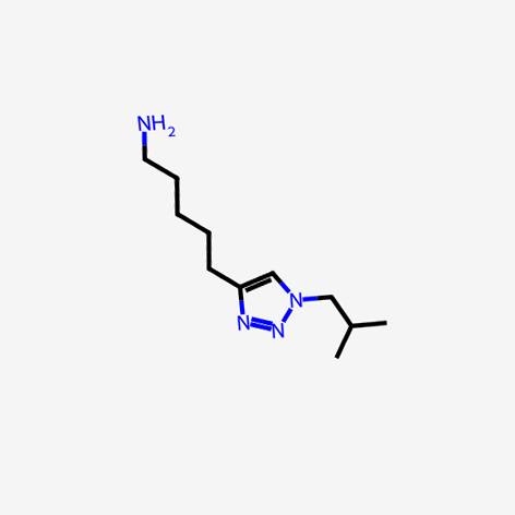 CC(C)Cn1cc(CCCCCN)nn1